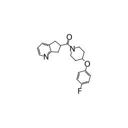 O=C(C1Cc2cccnc2C1)N1CCC(Oc2ccc(F)cc2)CC1